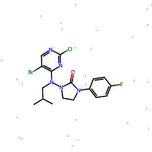 CC(C)CN(c1nc(Cl)ncc1Br)N1CCN(c2ccc(F)cc2)C1=O